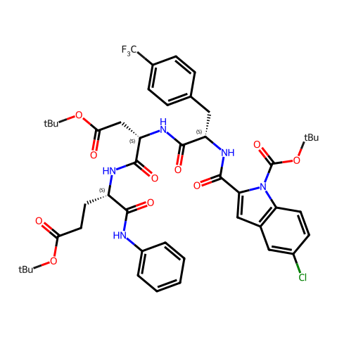 CC(C)(C)OC(=O)CC[C@H](NC(=O)[C@H](CC(=O)OC(C)(C)C)NC(=O)[C@H](Cc1ccc(C(F)(F)F)cc1)NC(=O)c1cc2cc(Cl)ccc2n1C(=O)OC(C)(C)C)C(=O)Nc1ccccc1